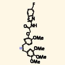 COc1ccc(/C=C\c2cc(OC)c(OC)c(OC)c2)cc1OCC(=O)Nc1nc2cc(F)ccc2s1